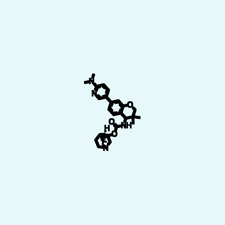 CN(C)c1ccc(-c2ccc3c(c2)OCC(C)(C)C3NC(=O)O[C@H]2CN3CCC2CC3)cn1